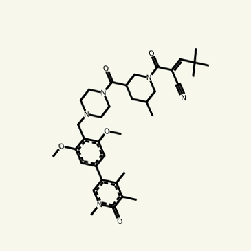 COc1cc(-c2cn(C)c(=O)c(C)c2C)cc(OC)c1CN1CCN(C(=O)C2CC(C)CN(C(=O)/C(C#N)=C/C(C)(C)C)C2)CC1